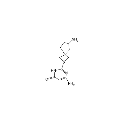 Nc1[c]c(=O)[nH]c(N2CC3(CCC(N)C3)C2)n1